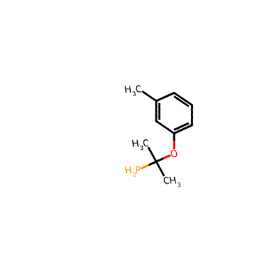 Cc1cccc(OC(C)(C)P)c1